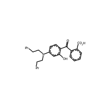 CC(C)CCN(CCC(C)C)c1ccc(C(=O)c2ccccc2C(=O)O)c(O)c1